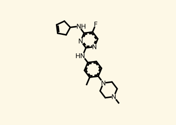 Cc1cc(Nc2ncc(F)c(NC3CC=CC3)n2)ccc1N1CCN(C)CC1